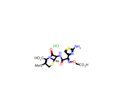 CSC1=C(C(=O)O)N2C(=O)C(NC(=O)/C(=N/OCC(=O)O)c3csc(N)n3)[C@H]2SC1.Cl